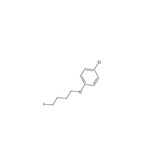 Clc1ccc(OCCCCI)cc1